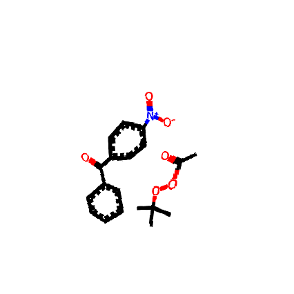 CC(=O)OOC(C)(C)C.O=C(c1ccccc1)c1ccc([N+](=O)[O-])cc1